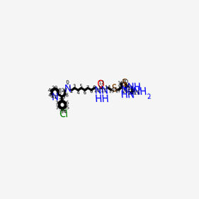 CN(CCCCCCCCNC(=O)NCCSCc1csc(NC(=N)N)n1)CCC(c1ccc(Cl)cc1)c1ccccn1